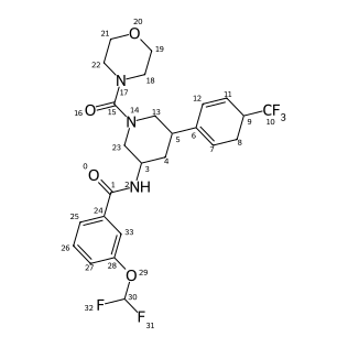 O=C(NC1CC(C2=CCC(C(F)(F)F)C=C2)CN(C(=O)N2CCOCC2)C1)c1cccc(OC(F)F)c1